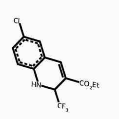 CCOC(=O)C1=Cc2cc(Cl)ccc2NC1C(F)(F)F